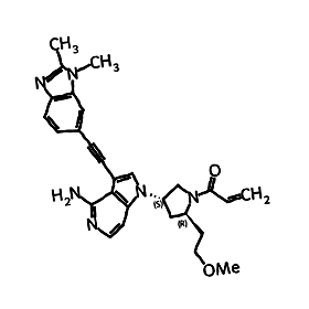 C=CC(=O)N1C[C@@H](n2cc(C#Cc3ccc4nc(C)n(C)c4c3)c3c(N)nccc32)C[C@@H]1CCOC